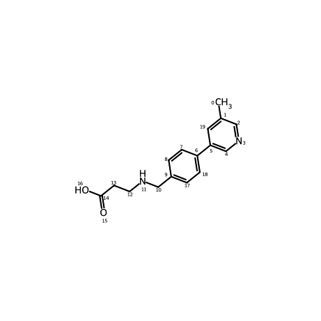 Cc1cncc(-c2ccc(CNCCC(=O)O)cc2)c1